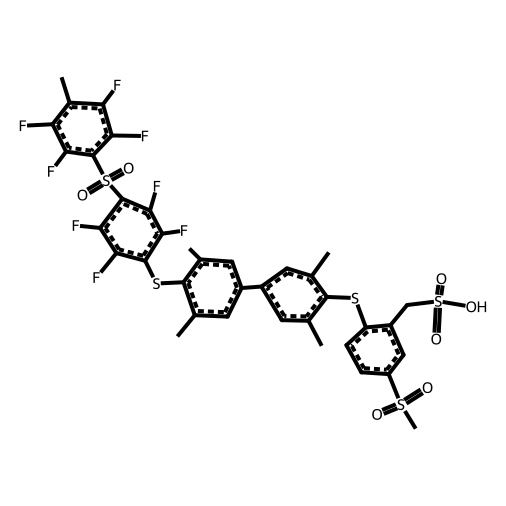 Cc1cc(-c2cc(C)c(Sc3c(F)c(F)c(S(=O)(=O)c4c(F)c(F)c(C)c(F)c4F)c(F)c3F)c(C)c2)cc(C)c1Sc1ccc(S(C)(=O)=O)cc1CS(=O)(=O)O